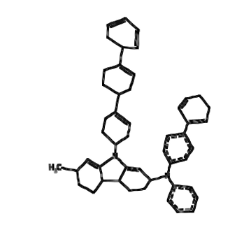 CC1C=C2C(CC1)C1CCC(N(c3ccccc3)c3ccc(C4=CCCC=C4)cc3)C=C1N2C1CC=C(C2CC=C(C3C=CC=CC3)CC2)CC1